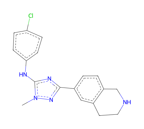 Cn1nc(-c2ccc3c(c2)CCNC3)nc1Nc1ccc(Cl)cc1